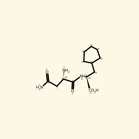 NC(=O)C[C@H](N)C(=O)N[C@@H](CC1CCCCC1)C(=O)O